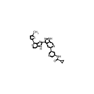 Cc1ccc(-c2nccc3[nH]c(-c4n[nH]c5cnc(-c6cncc(NC(=O)C7CC7)c6)cc45)nc23)s1